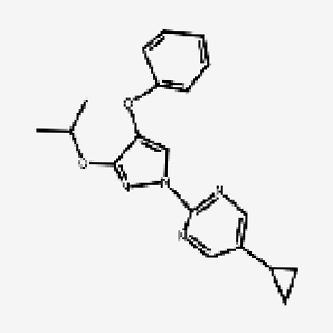 CC(C)Oc1nn(-c2ncc(C3CC3)cn2)cc1Oc1ccccc1